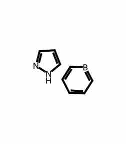 b1ccccc1.c1cn[nH]c1